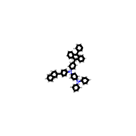 c1ccc(-c2c3ccccc3c(-c3ccc(N(c4ccc(-c5ccc6ccccc6c5)cc4)c4ccc(N(c5ccccc5)c5ccccc5)cc4)cc3)c3ccccc23)cc1